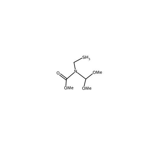 COC(=O)N(C[SiH3])C(OC)OC